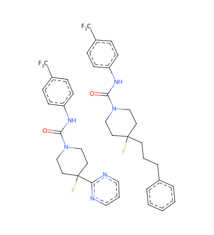 O=C(Nc1ccc(C(F)(F)F)cc1)N1CCC(F)(CCCc2ccccc2)CC1.O=C(Nc1ccc(C(F)(F)F)cc1)N1CCC(F)(c2ncccn2)CC1